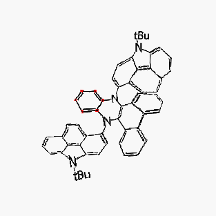 CC(C)(C)n1c2cccc3ccc4c(N(c5ccccc5)c5c(N(c6ccccc6)c6ccc7c8c6ccc6cccc(c68)n7C(C)(C)C)c6ccccc6c6ccccc56)ccc1c4c32